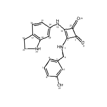 O=c1c(NCc2cccc(O)c2)c(Nc2ccc3c(c2)NCC3)c1=O